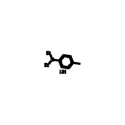 CCN(CC)c1ccc(C)cc1.[LiH]